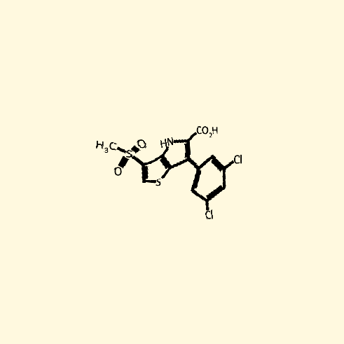 CS(=O)(=O)c1csc2c(-c3cc(Cl)cc(Cl)c3)c(C(=O)O)[nH]c12